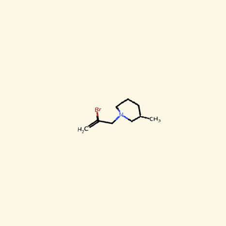 C=C(Br)CN1CCCC(C)C1